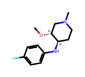 CO[C@@H]1CN(C)CC[C@H]1Nc1ccc(F)cc1